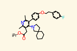 Cc1nc(C)c(-c2ccc(OCCc3ccc(F)cc3)cc2)c(N2CCC3(CCCCC3)C2)c1CC(=O)OC(C)C